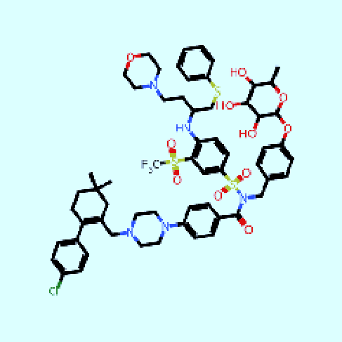 CC1OC(Oc2ccc(CN(C(=O)c3ccc(N4CCN(CC5=C(c6ccc(Cl)cc6)CCC(C)(C)C5)CC4)cc3)S(=O)(=O)c3ccc(NC(CCN4CCOCC4)CSc4ccccc4)c(S(=O)(=O)C(F)(F)F)c3)cc2)C(O)C(O)C1O